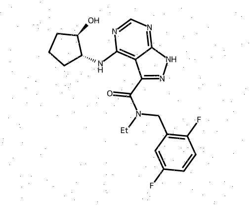 CCN(Cc1cc(F)ccc1F)C(=O)c1n[nH]c2ncnc(N[C@@H]3CCC[C@H]3O)c12